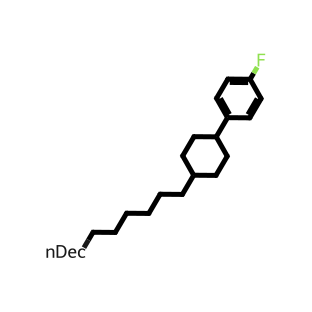 CCCCCCCCCCCCCCCCC1CCC(c2ccc(F)cc2)CC1